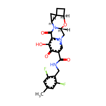 Cc1cc(F)c(CNC(=O)c2cn3c(c(O)c2=O)C(=O)N2[C@@H](C3)O[C@@H]3CCC34C[C@@H]24)c(F)c1